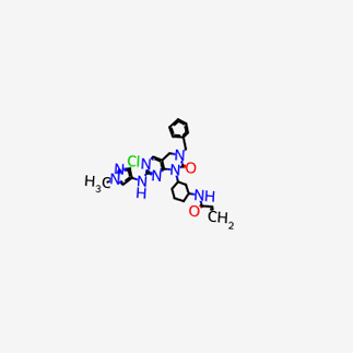 C=CC(=O)NC1CCCC(N2C(=O)N(Cc3ccccc3)Cc3cnc(Nc4cn(C)nc4Cl)nc32)C1